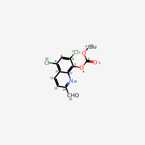 CC(C)(C)OC(=O)Oc1c(Cl)cc(Cl)c2ccc(C=O)nc12